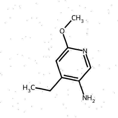 CCc1cc(OC)ncc1N